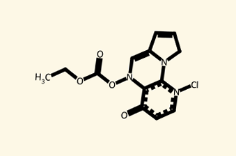 CCOC(=O)ON1C=C2C=CCN2c2c1c(=O)ccn2Cl